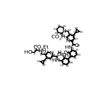 CCOC(=O)[C@H](CO)NCc1cnc(C(=O)Nc2cccc(-c3cccc(NC(=O)c4cc(C5CC5)c(CN5CCCC[C@H]5C(=O)O)cn4)c3C)c2C)cc1C1CC1